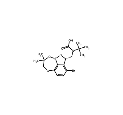 CC1(C)COc2ccc(Br)c3c2B(O[C@@H]3CN(C(=O)O)C(C)(C)C)O1